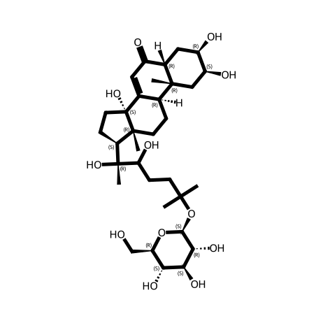 CC(C)(CCC(O)[C@](C)(O)[C@H]1CC[C@@]2(O)C3=CC(=O)[C@@H]4C[C@@H](O)[C@@H](O)C[C@]4(C)[C@H]3CC[C@]12C)O[C@@H]1O[C@H](CO)[C@@H](O)[C@H](O)[C@H]1O